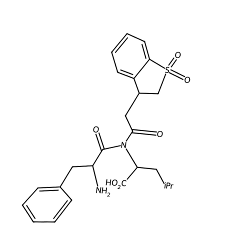 CC(C)CC(C(=O)O)N(C(=O)CC1CS(=O)(=O)c2ccccc21)C(=O)C(N)Cc1ccccc1